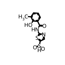 Cc1cccc(C(=O)Nc2ncc([SH](=O)=O)s2)c1O